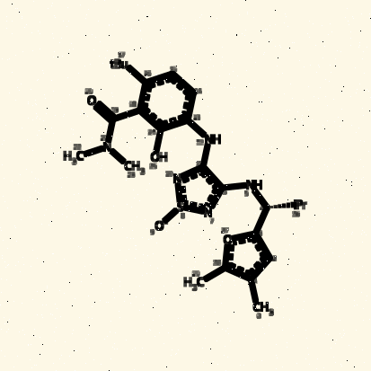 Cc1cc([C@H](Nc2n[s+]([O-])nc2Nc2ccc(C(C)(C)C)c(C(=O)N(C)C)c2O)C(C)C)oc1C